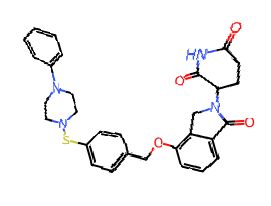 O=C1CCC(N2Cc3c(OCc4ccc(SN5CCN(c6ccccc6)CC5)cc4)cccc3C2=O)C(=O)N1